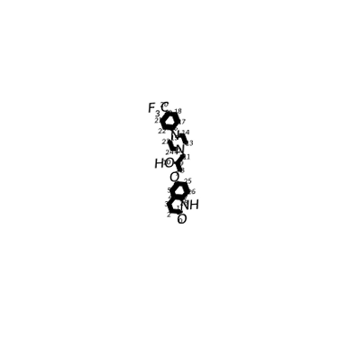 O=C1CCc2cc(OC[C@@H](O)CN3CCN(c4ccc(C(F)(F)F)cc4)CC3)ccc2N1